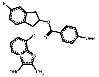 COc1ccc(C(=O)O[C@@H]2Cc3cc(F)ccc3[C@H]2Oc2cccn3c(C=O)c(C)nc23)cc1